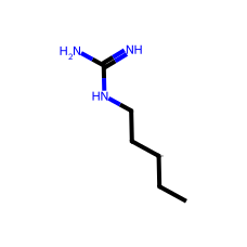 CC[CH]CCNC(=N)N